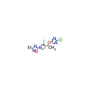 CCc1noc(N2CCC(C(C)Oc3cnc(Cl)nc3)[C@H](F)C2)n1